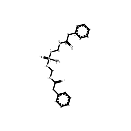 NP(=O)(OCOC(=O)Cc1ccccc1)OCOC(=O)Cc1ccccc1